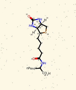 CCCCCC(NC(=O)CCCC[C@@H]1SC[C@@H]2NC(=O)N[C@@H]21)C(=O)O